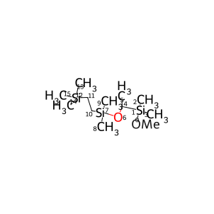 CO[Si](C)(C)C(C)O[Si](C)(C)CC[Si](C)(C)C